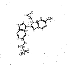 N#Cc1ccc2nc(-n3cnc4ccc(CN[SH](=O)=O)cc43)n(C3CC3)c2c1